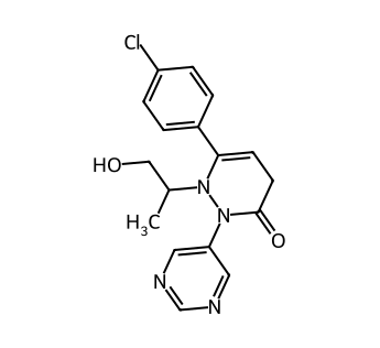 CC(CO)N1C(c2ccc(Cl)cc2)=CCC(=O)N1c1cncnc1